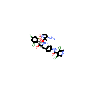 COC(=O)[C@H](Cc1ccc(NC(=O)c2c(Cl)cncc2Cl)cc1)NC(=O)C1(C)[C@H](N)CCN1S(=O)(=O)c1cc(Cl)cc(Cl)c1